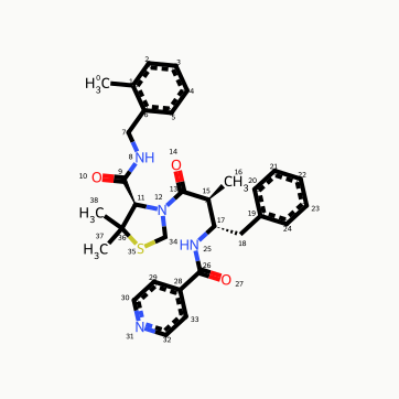 Cc1ccccc1CNC(=O)[C@H]1N(C(=O)[C@@H](C)[C@H](Cc2ccccc2)NC(=O)c2ccncc2)CSC1(C)C